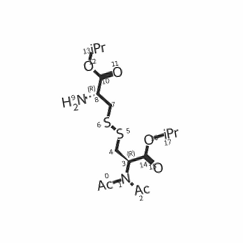 CC(=O)N(C(C)=O)[C@@H](CSSC[C@H](N)C(=O)OC(C)C)C(=O)OC(C)C